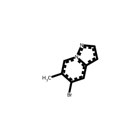 Cc1cn2nccc2cc1Br